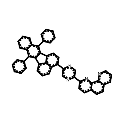 c1ccc(-c2c3c(c(-c4ccccc4)c4ccccc24)-c2ccc(-c4cnc(-c5ccc6ccc7cccnc7c6n5)cn4)c4cccc-3c24)cc1